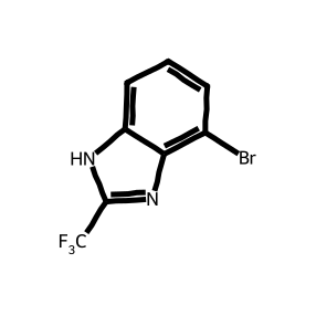 FC(F)(F)c1nc2c(Br)cccc2[nH]1